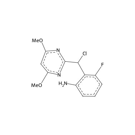 COc1cc(OC)nc(C(Cl)c2c(N)cccc2F)n1